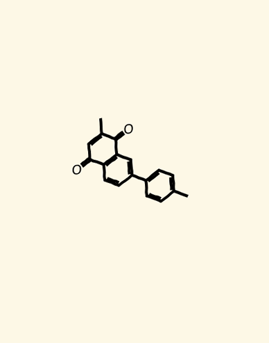 CC1=CC(=O)c2ccc(-c3ccc(C)cc3)cc2C1=O